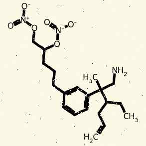 C=CCC(CC)C(C)(CN)c1cccc(CCCC(CO[N+](=O)[O-])O[N+](=O)[O-])c1